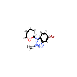 CN1Nc2cc(Br)ccc2N1C1CCCCO1